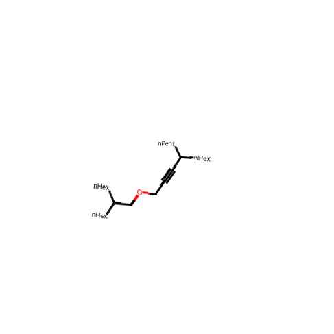 CCCCCCC(C#CCOCC(CCCCCC)CCCCCC)CCCCC